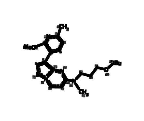 COc1nc(C)ccc1-c1cnn2ccc(N(C)CCCOC(C)(C)C)nc12